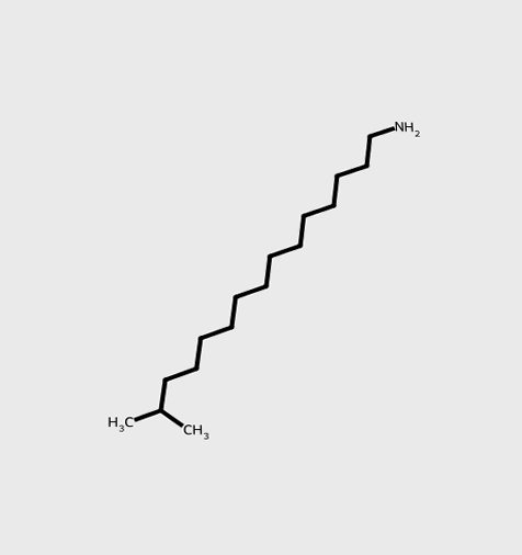 CC(C)CCCCCCCCCCCCCN